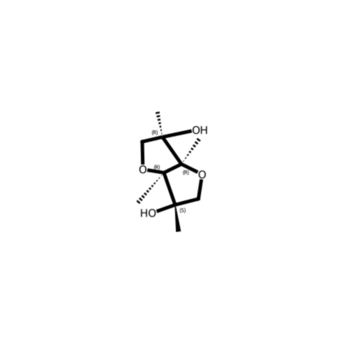 C[C@]12OC[C@@](C)(O)[C@@]1(C)OC[C@]2(C)O